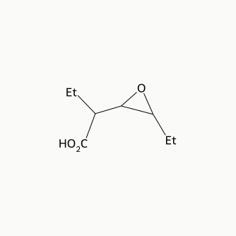 CCC1OC1C(CC)C(=O)O